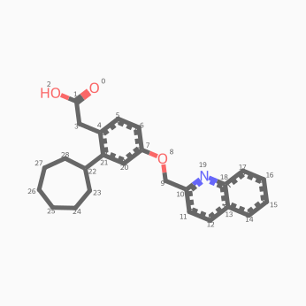 O=C(O)Cc1ccc(OCc2ccc3ccccc3n2)cc1C1CCCCCC1